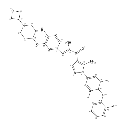 CC1=CC(n2ncc(C(=O)c3cc4cc(OC5CCN(C6COC6)CC5)c(Br)cc4[nH]3)c2N)=CC(C)C1Oc1ccccc1F